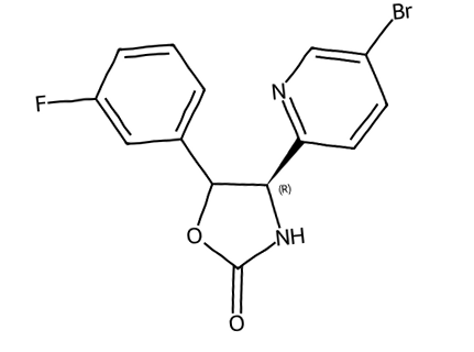 O=C1N[C@H](c2ccc(Br)cn2)C(c2cccc(F)c2)O1